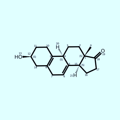 C[C@]12CC[C@H]3C(=CCC4=C3CC[C@H](O)C4)[C@@H]1CCC2=O